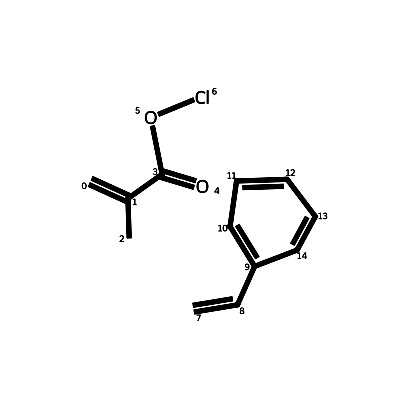 C=C(C)C(=O)OCl.C=Cc1ccccc1